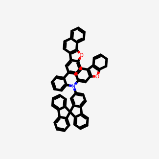 C1=Cc2c(oc3cc(N(c4ccc5c(c4)C4(c6ccccc6-c6ccccc64)c4ccccc4-5)c4ccccc4-c4ccc5oc6c7ccccc7ccc6c5c4)ccc23)CC1